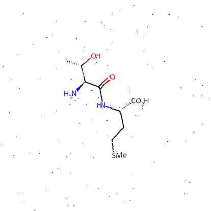 CSCC[C@H](NC(=O)[C@@H](N)[C@H](C)O)C(=O)O